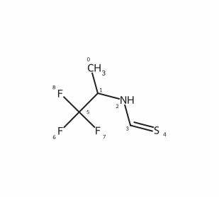 CC(NC=S)C(F)(F)F